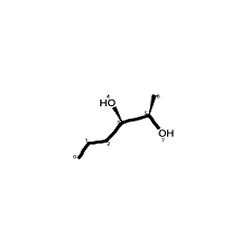 CCC[C@@H](O)[C@@H](C)O